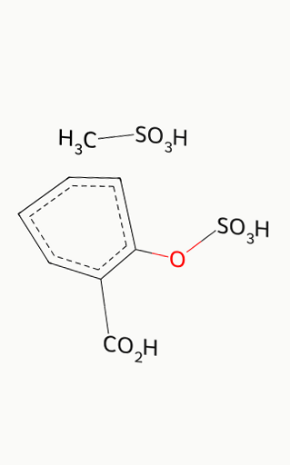 CS(=O)(=O)O.O=C(O)c1ccccc1OS(=O)(=O)O